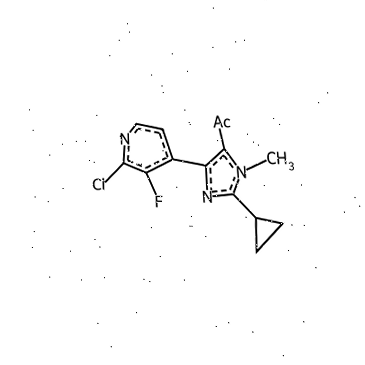 CC(=O)c1c(-c2ccnc(Cl)c2F)nc(C2CC2)n1C